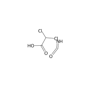 N=C=O.O=C(O)C(Cl)Cl